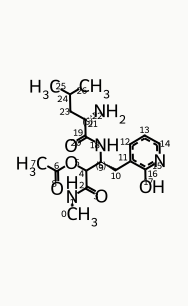 CNC(=O)C(OC(C)=O)[C@H](Cc1cccnc1O)NC(=O)[C@@H](N)CC(C)C